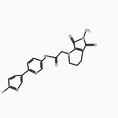 CN1C(=O)C2=C(C1=O)N(CC(=O)Nc1ccc(-c3ccc(F)nc3)nc1)CCC2